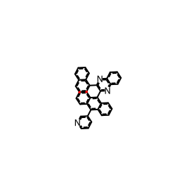 c1cncc(-c2c3ccccc3c(-c3nc4ccccc4nc3-c3cccc4ccccc34)c3ccccc23)c1